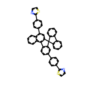 c1ccc2c(c1)-c1ccccc1C21c2cc(-c3ccc(-c4nccs4)cc3)ccc2-c2c1cc(-c1ccc(-c3nccs3)cc1)c1ccccc21